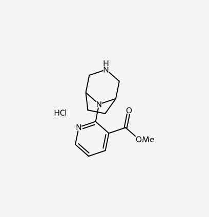 COC(=O)c1cccnc1N1C2CCC1CNC2.Cl